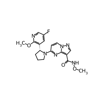 CONC(=O)c1cnn2ccc(N3CCC[C@@H]3c3cc(F)cnc3OC)nc12